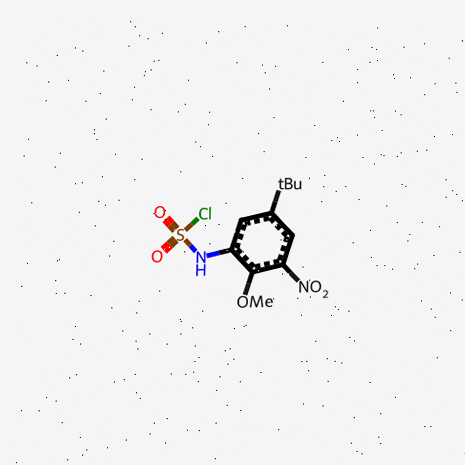 COc1c(NS(=O)(=O)Cl)cc(C(C)(C)C)cc1[N+](=O)[O-]